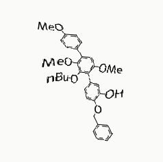 CCCCOc1c(OC)c(-c2ccc(OC)cc2)cc(OC)c1-c1ccc(OCc2ccccc2)c(O)c1